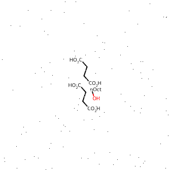 CCCCCCCCO.O=C(O)CCC(=O)O.O=C(O)CCC(=O)O